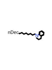 CCCCCCCCCCCCCCCCCCN1CCCc2ccccc21